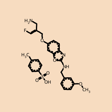 COc1cccc(CNc2nc3ccc(OCC(=CF)CN)cc3o2)c1.Cc1ccc(S(=O)(=O)O)cc1